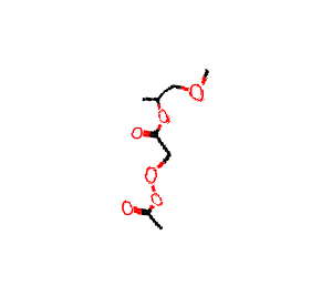 COCC(C)OC(=O)COOC(C)=O